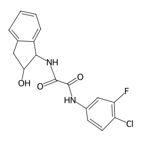 O=C(Nc1ccc(Cl)c(F)c1)C(=O)NC1c2ccccc2CC1O